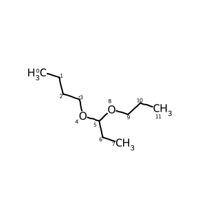 CCC[CH]OC(CC)OCCC